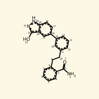 NC(=O)c1ccccc1C[CH]c1cccc(-c2ccc3[nH]nc(O)c3c2)c1